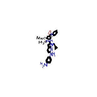 COc1cc(C(=O)N2CC3CCC2C3C)cc2nc(-c3cc4ccc(Nc5ccc(N)cc5)nc4n3CC3CC3)n(C)c12